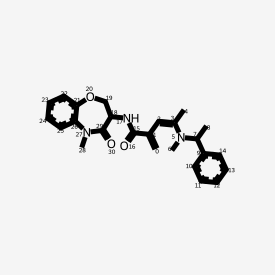 C=C(/C=C(/C)N(C)C(C)c1ccccc1)C(=O)NC1COc2ccccc2N(C)C1=O